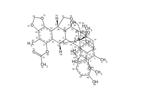 COc1c(C)cc2c(c1O)[C@H]1C3[C@@H]4SC[C@]5(C(=O)COC[C@@H](c6c7c(c(C)c(OC(C)=O)c64)OCO7)N3[C@@H](O)[C@@H](C2)N1C)c1[nH]c2ccc(O)cc2c1CCN5C